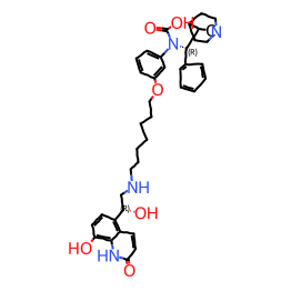 O=C(O)N(c1cccc(OCCCCCCCNC[C@H](O)c2ccc(O)c3[nH]c(=O)ccc23)c1)[C@@H](c1ccccc1)C1CN2CCC1CC2